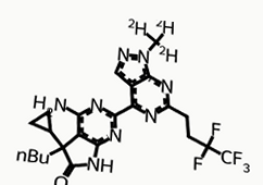 [2H]C([2H])([2H])n1ncc2c(-c3nc(N)c4c(n3)NC(=O)C4(CCCC)C3CC3)nc(CCC(F)(F)C(F)(F)F)nc21